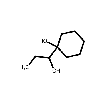 CCC(O)C1(O)CCCCC1